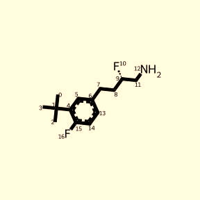 CC(C)(C)c1cc(CC[C@H](F)CN)ccc1F